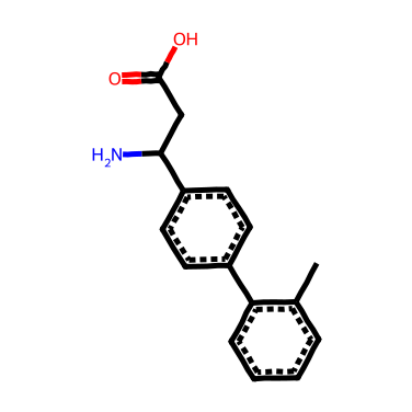 Cc1ccccc1-c1ccc(C(N)CC(=O)O)cc1